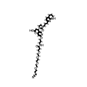 [N-]=[N+]=NCCOCCOCCOCCOCCC(=O)NCCCOc1ccc(C(CC(=O)O)N2CCN(CCCc3ccc4c(n3)NCCC4)C2=O)cn1